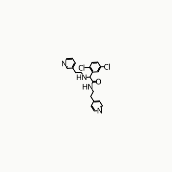 O=C(NCCc1ccncc1)C(NCCc1cccnc1)c1cc(Cl)ccc1Cl